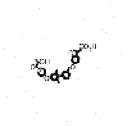 Cc1cc(OC2CCN(C(=O)C(C)O)CC2)cc(C)c1-c1cccc(COc2ccc3c(c2)OCC3CC(=O)O)c1